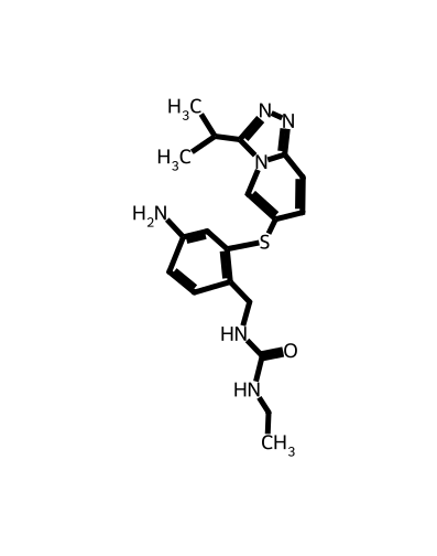 CCNC(=O)NCc1ccc(N)cc1Sc1ccc2nnc(C(C)C)n2c1